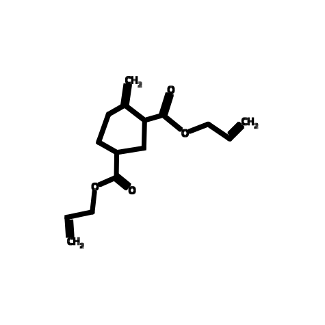 C=CCOC(=O)C1CCC(=C)C(C(=O)OCC=C)C1